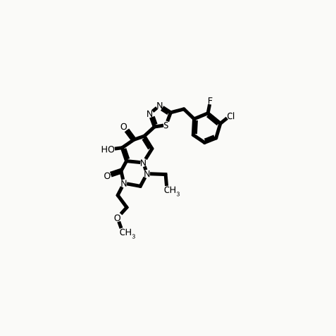 CCN1CN(CCOC)C(=O)c2c(O)c(=O)c(-c3nnc(Cc4cccc(Cl)c4F)s3)cn21